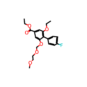 CCOC(=O)c1cc(OCC)c(-c2ccc(F)cc2)c(OCOCCOC)c1